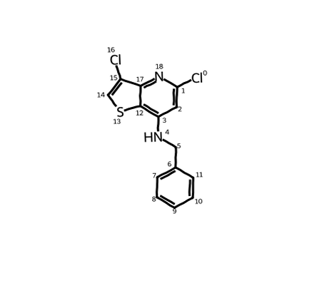 Clc1cc(NCc2ccccc2)c2scc(Cl)c2n1